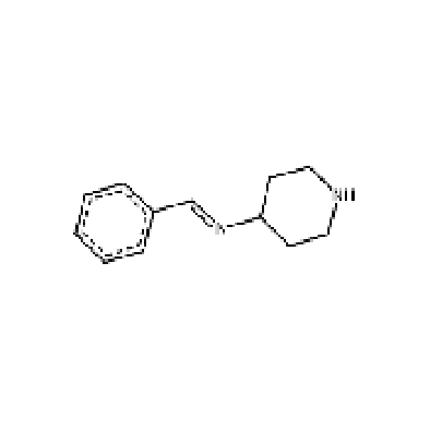 C(=NC1CCNCC1)c1ccccc1